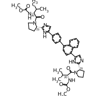 COC(=O)N[C@@H](C(=O)N1CCC[C@H]1c1ncc(-c2ccc(-c3ccc(-c4cnc([C@@H]5CCCN5C(=O)[C@H](NC(=O)OC)C(C)C)[nH]4)c4ccccc34)cc2)[nH]1)C(C)C